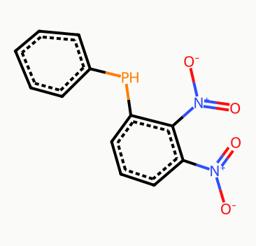 O=[N+]([O-])c1cccc(Pc2ccccc2)c1[N+](=O)[O-]